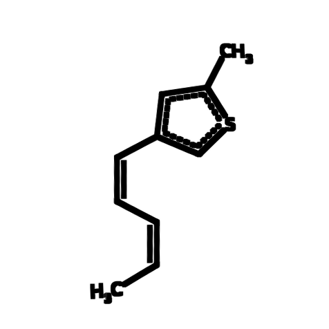 C/C=C\C=C/c1csc(C)c1